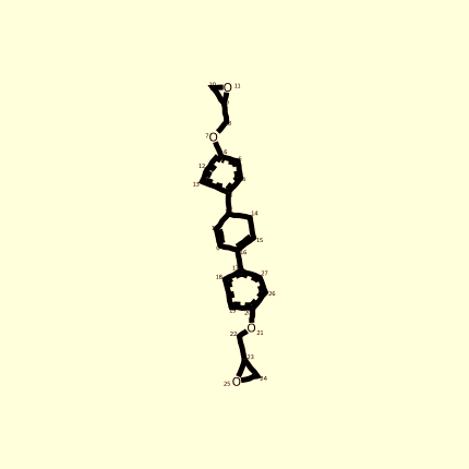 C1=CC(c2ccc(OCC3CO3)cc2)CC=C1c1ccc(OCC2CO2)cc1